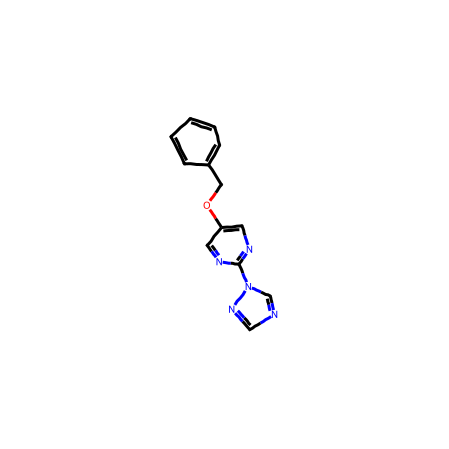 c1ccc(COc2cnc(-n3cncn3)nc2)cc1